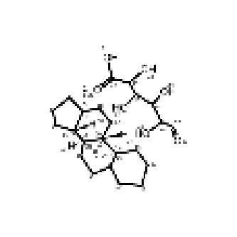 C[C@@]12CCC[C@H]1[C@@H]1CCC3CCCC[C@]3(C)[C@H]1CC2.O=CC(O)C(O)C(O)C(O)C(=O)O